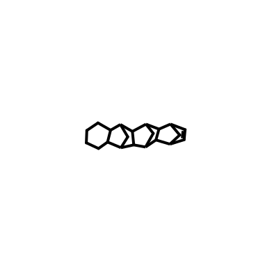 C1=CC2CC1C1C3CC(C21)C1C2CC(C4CCCCC42)C31